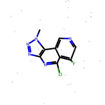 Cn1nnc2nc(Cl)c3c(F)cncc3c21